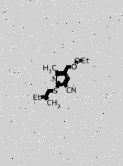 C=C(CC)CSc1nc(C)c(COOCC)cc1C#N